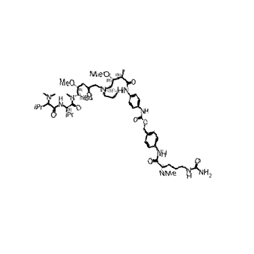 CC[C@H](C)[C@@H]([C@@H](CC(=O)CN1CCC[C@H]1[C@H](OC)[C@@H](C)C(=O)Nc1ccc(NC(=O)OCc2ccc(NC(=O)[C@H](CCCNC(N)=O)NC)cc2)cc1)OC)N(C)C(=O)[C@H](NC(=O)C(C(C)C)N(C)C)C(C)C